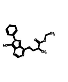 CCOC(=O)C(C)CSc1ncnc2c(O)n(-c3ccccc3)nc12